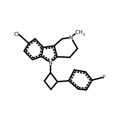 CN1CCc2c(c3cc(Cl)ccc3n2C2CCC2c2ccc(F)cc2)C1